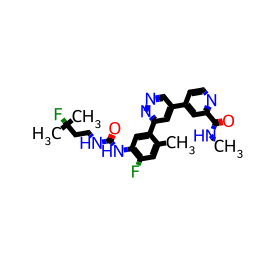 CNC(=O)c1cc(-c2cnnc(-c3cc(NC(=O)NCCC(C)(C)F)c(F)cc3C)c2)ccn1